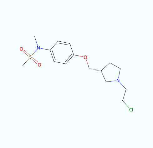 CN(c1ccc(OC[C@@H]2CCN(CCCl)C2)cc1)S(C)(=O)=O